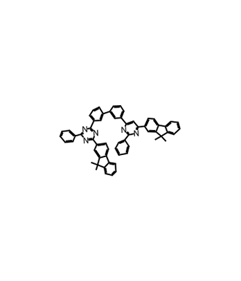 CC1(C)c2ccccc2-c2ccc(-c3cc(-c4cccc(-c5cccc(-c6nc(-c7ccccc7)nc(-c7ccc8c(c7)C(C)(C)c7ccccc7-8)n6)c5)c4)nc(-c4ccccc4)n3)cc21